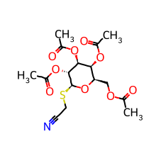 CC(=O)OC[C@H]1O[C@@H](SCC#N)[C@H](OC(C)=O)[C@@H](OC(C)=O)[C@H]1OC(C)=O